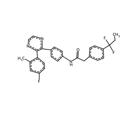 CCC(F)(F)c1ccc(CC(=O)Nc2ccc(-c3nccnc3-c3ccc(F)cc3C)cc2)cc1